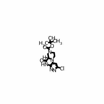 CC(C)(C)OC(=O)N1CCN2c3cc(Cl)nnc3NC(=O)[C@@H]2C1